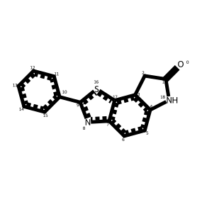 O=C1Cc2c(ccc3nc(-c4ccccc4)sc23)N1